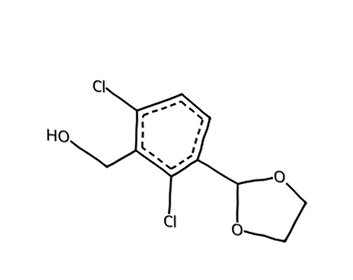 OCc1c(Cl)ccc(C2OCCO2)c1Cl